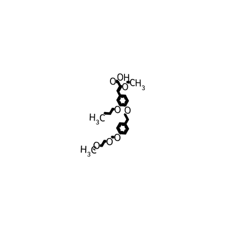 CCCCOc1cc(/C=C(\OCC)C(=O)O)ccc1OCCc1ccc(OCOCCOC)cc1